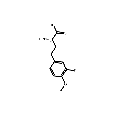 COc1ccc(CC[C@H](N)C(=O)O)cc1F